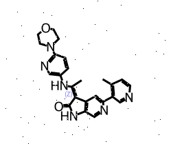 C/C(Nc1ccc(N2CCOCC2)nc1)=C1/C(=O)Nc2cnc(-c3cnccc3C)cc21